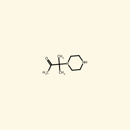 CC(=O)C(C)(C)N1CCNCC1